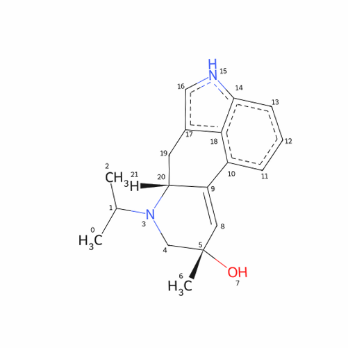 CC(C)N1C[C@@](C)(O)C=C2c3cccc4[nH]cc(c34)C[C@H]21